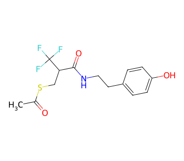 CC(=O)SCC(C(=O)NCCc1ccc(O)cc1)C(F)(F)F